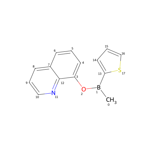 CB(Oc1cccc2cccnc12)c1cccs1